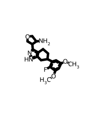 COc1cc(OC)c(F)c(C2CCc3c(C4COCC4N)n[nH]c3C2)c1